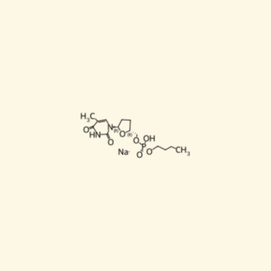 CCCCOP(=O)(O)OC[C@H]1CC[C@H](n2cc(C)c(=O)[nH]c2=O)O1.[Na]